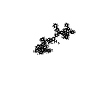 CC1(C)c2ccc(-c3ccc(N(c4ccc(-c5ccccc5)cc4)c4ccc5c(c4)-c4oc6ccccc6c4C54c5ccccc5-c5c(N(c6ccccc6)c6ccc(-c7ccccc7)cc6)cccc54)cc3)cc2-c2ccc(N(c3ccccc3)c3ccc4c(c3)-c3ccccc3C43c4cccc(N(c5ccccc5)c5ccccc5)c4-c4oc5ccccc5c43)cc21